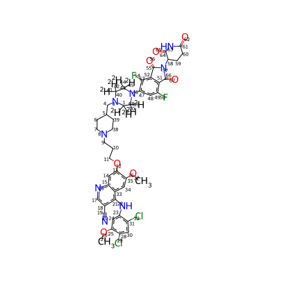 [2H]C1([2H])N(CC2CCN(CCCOc3cc4ncc(C#N)c(Nc5cc(OC)c(Cl)cc5Cl)c4cc3OC)CC2)C([2H])([2H])C([2H])([2H])N(c2cc(F)c3c(c2F)C(=O)N(C2CCC(=O)NC2=O)C3=O)C1([2H])[2H]